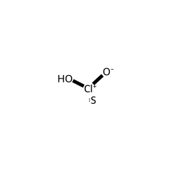 [O-][Cl+]O.[S]